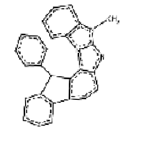 Cn1c2ccccc2n2c3c4c(ccc3nc12)-c1ccccc1C4c1ccccc1